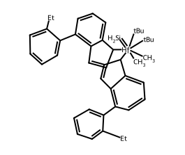 CCc1ccccc1-c1cccc2c1C=C[CH]2[Hf]([CH3])([CH3])(=[SiH2])([CH]1C=Cc2c(-c3ccccc3CC)cccc21)([C](C)(C)C)[C](C)(C)C